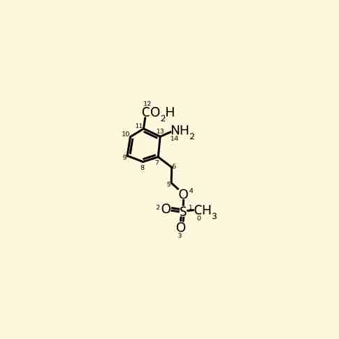 CS(=O)(=O)OCCc1cccc(C(=O)O)c1N